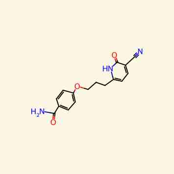 N#Cc1ccc(CCCOc2ccc(C(N)=O)cc2)[nH]c1=O